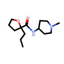 CCCC1(C(=O)NC2CCN(C)CC2)CCCO1